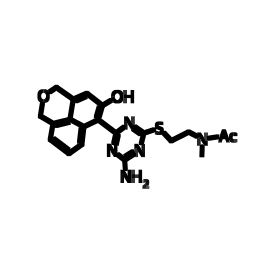 CC(=O)N(C)CCSc1nc(N)nc(-c2c(O)cc3c4c(cccc24)COC3)n1